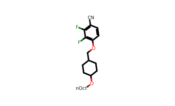 CCCCCCCCOC1CCC(COc2ccc(C#N)c(F)c2F)CC1